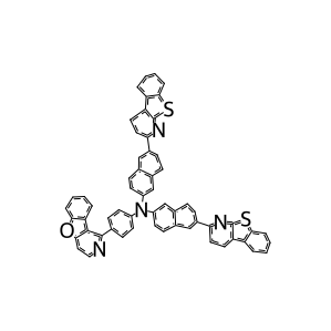 c1ccc2c(c1)oc1ccnc(-c3ccc(N(c4ccc5cc(-c6ccc7c(n6)sc6ccccc67)ccc5c4)c4ccc5cc(-c6ccc7c(n6)sc6ccccc67)ccc5c4)cc3)c12